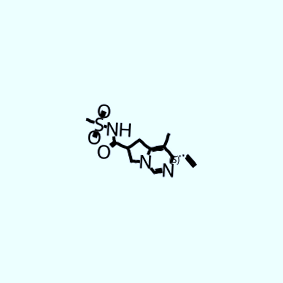 C=C[C@@H]1N=CN2CC(C(=O)NS(C)(=O)=O)CC2=C1C